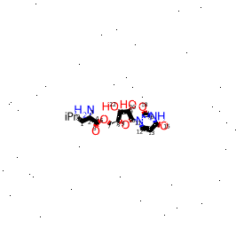 CC(C)C[C@H](N)C(=O)OC[C@H]1O[C@@H](n2ccc(=O)[nH]c2=O)[C@H](O)[C@@H]1O